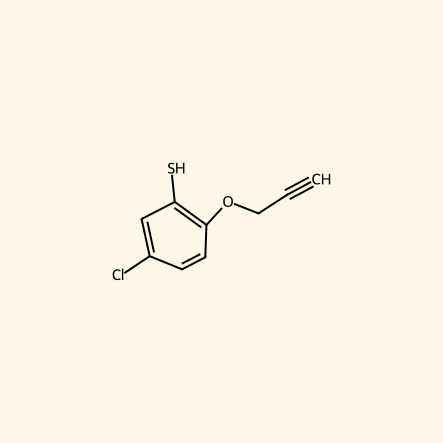 C#CCOc1ccc(Cl)cc1S